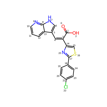 O=C(O)C(=Cc1c[nH]c2ncccc12)c1csc(-c2ccc(Cl)cc2)n1